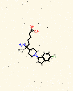 NC(CCCCB(O)O)(C(=O)O)C1CCN(C2CCc3cc(Cl)ccc32)CC1